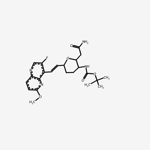 COc1ccc2ncc(F)c(C=CC3CCC(NC(=O)OC(C)(C)C)C(CC(N)=O)O3)c2n1